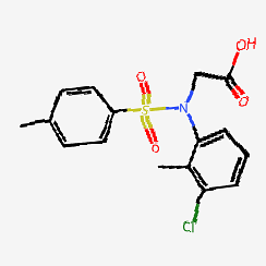 Cc1ccc(S(=O)(=O)N(CC(=O)O)c2cccc(Cl)c2C)cc1